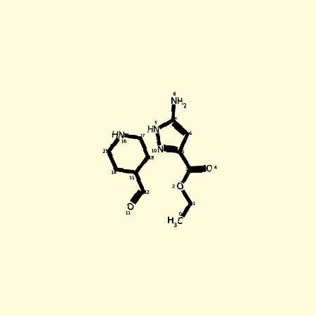 CCOC(=O)c1cc(N)[nH]n1.O=CC1CCNCC1